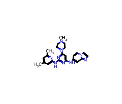 Cc1cc(C)nc(Nc2nc(Nc3ccn4ccnc4c3)cc(N3CCN(C)CC3)n2)c1